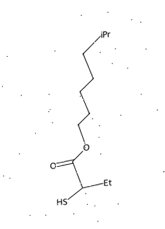 CCC(S)C(=O)OCCCCCC(C)C